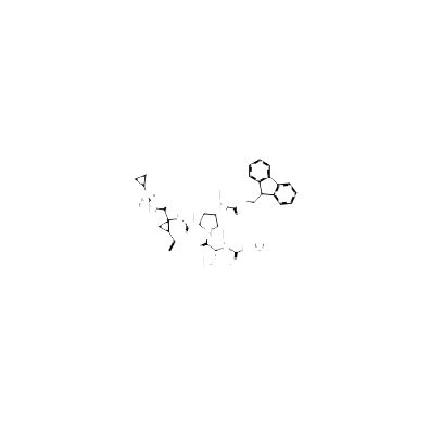 C=CC1CC1(NC(=O)[C@@H]1C[C@@H](NC(=O)OCC2c3ccccc3-c3ccccc32)CN1C(=O)[C@@H](NC(=O)OC)C(C)(C)C)C(=O)NS(=O)(=O)C1CC1